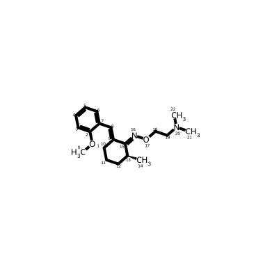 COc1ccccc1C=C1CCC[C@H](C)C1=NOCCN(C)C